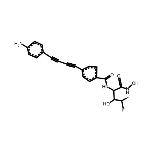 Nc1ccc(C#CC#Cc2ccc(C(=O)NC(C(=O)NO)C(O)C(F)F)cc2)cc1